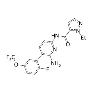 CCn1nccc1C(=O)Nc1ccc(-c2cc(OC(F)(F)F)ccc2F)c(N)n1